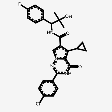 CC(C)(O)[C@@H](NC(=O)c1cn2nc(-c3ccc(Cl)cc3)[nH]c(=O)c2c1C1CC1)c1ccc(F)cc1